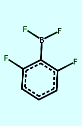 FB(F)c1c(F)cccc1F